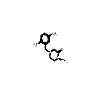 Cc1ccc(N)cc1CN1CCN(C)C(=O)C1